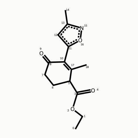 CCOC(=O)C1CCC(=O)C(c2cc(C)no2)=C1C